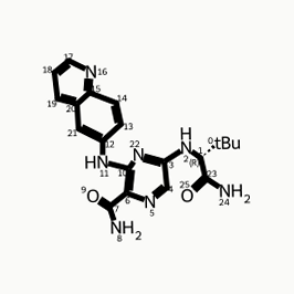 CC(C)(C)[C@@H](Nc1cnc(C(N)=O)c(Nc2ccc3ncccc3c2)n1)C(N)=O